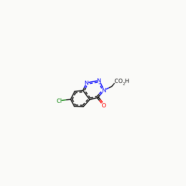 O=C(O)Cn1nnc2cc(Cl)ccc2c1=O